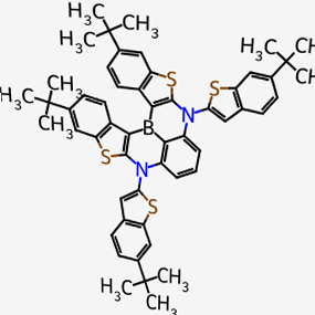 CC(C)(C)c1ccc2cc(N3c4cccc5c4B(c4c3sc3cc(C(C)(C)C)ccc43)c3c(sc4cc(C(C)(C)C)ccc34)N5c3cc4ccc(C(C)(C)C)cc4s3)sc2c1